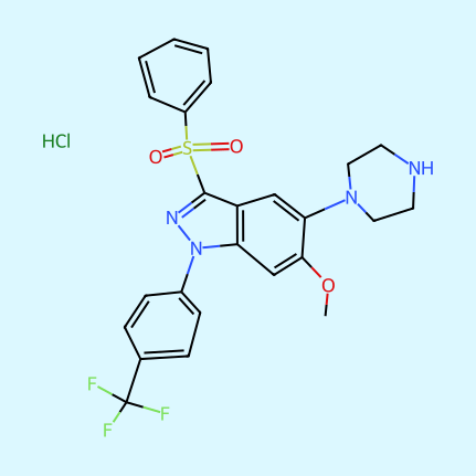 COc1cc2c(cc1N1CCNCC1)c(S(=O)(=O)c1ccccc1)nn2-c1ccc(C(F)(F)F)cc1.Cl